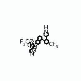 O=C(ON(c1ccncn1)S(=O)(=O)c1ccc2c(-c3ccc(C(F)(F)F)cc3C3=CCNCC3)cccc2c1)C(F)(F)F